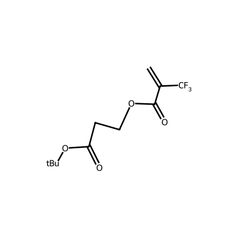 C=C(C(=O)OCCC(=O)OC(C)(C)C)C(F)(F)F